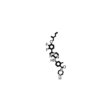 C=CCC(=C)COc1ccc(-c2cnc3c(Nc4ccc(C(=O)N5CCNCC5)c(C)c4)nccn23)c(F)c1F